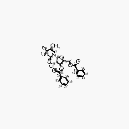 Cc1cn([C@@H]2OC(COC(=O)c3ccccc3)[C@@H](OC(=O)c3ccccc3)[C@@H]2Cl)c(=O)[nH]c1=O